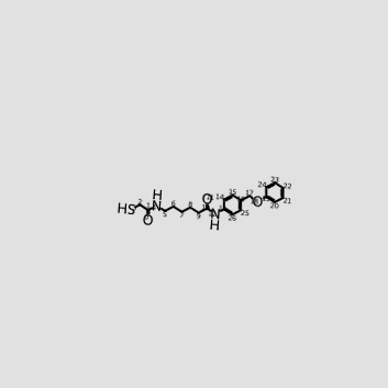 O=C(CS)NCCCCCC(=O)Nc1ccc(COc2ccccc2)cc1